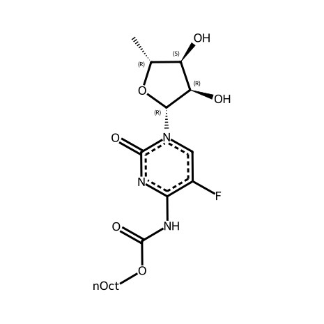 CCCCCCCCOC(=O)Nc1nc(=O)n([C@@H]2O[C@H](C)[C@@H](O)[C@H]2O)cc1F